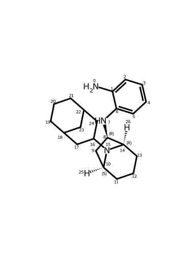 Nc1ccccc1N[C@@H]1C[C@@H]2CCC[C@H]1N2C1CC2CCCC(C2)C1